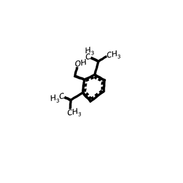 CC(C)c1cccc(C(C)C)c1CO